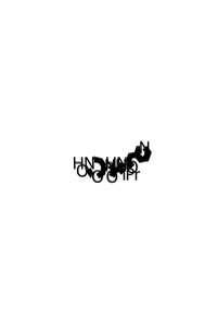 CC(C)C(NC(=O)Cc1cccnc1)C(=O)NC1CCNC(=O)COC1